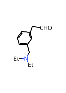 CCN(CC)Cc1cccc(CC=O)c1